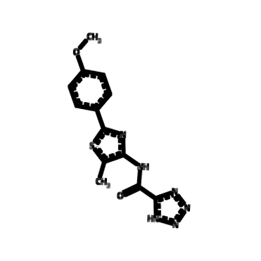 COc1ccc(-c2nc(NC(=O)c3nnn[nH]3)c(C)s2)cc1